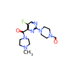 CN1CCN(C(=O)c2nc(N3CCN(C=O)CC3)ncc2F)CC1